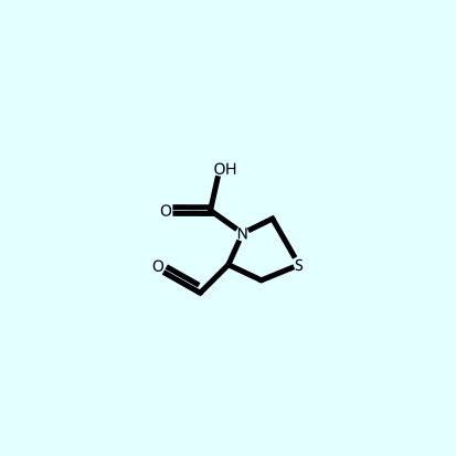 O=CC1CSCN1C(=O)O